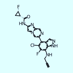 C#CCNc1c(F)c(Cl)c(-c2cn3cc(NC(=O)[C@@H]4C[C@@H]4F)nc3cn2)c2cn[nH]c12